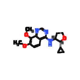 COc1ccc2c(N[C@H]3CCO[C@@H]3C3CC3)ncnc2c1OC